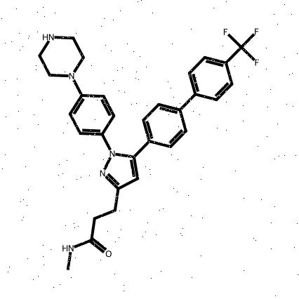 CNC(=O)CCc1cc(-c2ccc(-c3ccc(C(F)(F)F)cc3)cc2)n(-c2ccc(N3CCNCC3)cc2)n1